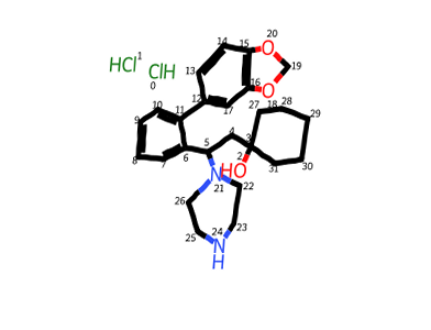 Cl.Cl.OC1(CC(c2ccccc2-c2ccc3c(c2)OCO3)N2CCNCC2)CCCCC1